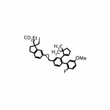 CCOC(=O)CC1(CI)CCc2ccc(OCc3ccc(-c4cc(OC)ccc4F)c(C4=CCCC4(C)C)c3)cc21